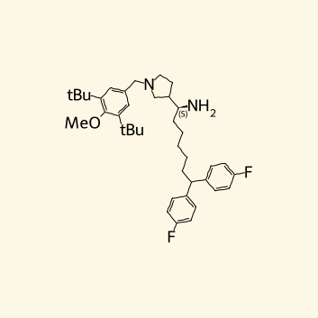 COc1c(C(C)(C)C)cc(CN2CCC([C@@H](N)CCCCCC(c3ccc(F)cc3)c3ccc(F)cc3)C2)cc1C(C)(C)C